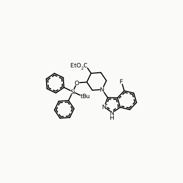 CCOC(=O)C1CCN(c2n[nH]c3cccc(F)c23)CC1O[Si](c1ccccc1)(c1ccccc1)C(C)(C)C